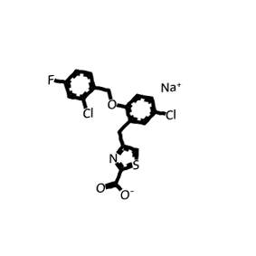 O=C([O-])c1nc(Cc2cc(Cl)ccc2OCc2ccc(F)cc2Cl)cs1.[Na+]